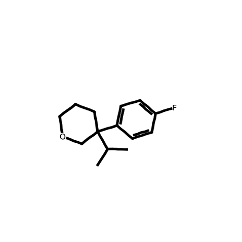 CC(C)C1(c2ccc(F)cc2)CCCOC1